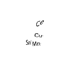 [Ce].[Cu].[Mn].[Sn]